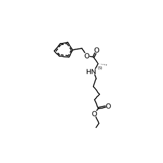 CCOC(=O)CCCCN[C@@H](C)C(=O)OCc1ccccc1